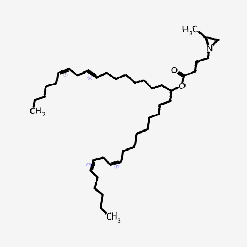 CCCCC/C=C\C/C=C\CCCCCCCCC(CCCCCCC/C=C/C/C=C\CCCCC)OC(=O)CCCN1CC1C